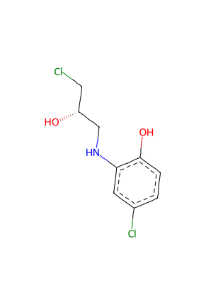 Oc1ccc(Cl)cc1NC[C@H](O)CCl